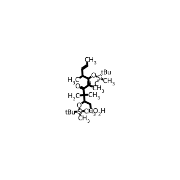 C/C=C/C(C)C(O[Si](C)(C)C(C)(C)C)C(C)C(=O)C(C)(C)C(CC(=O)O)O[Si](C)(C)C(C)(C)C